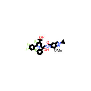 COc1cc(C(=O)NC[C@@](O)(c2ccccc2)c2cc(C(C)(C)O)c(F)c(-c3cc(F)c(F)cc3F)n2)cc2cn(C3CC3)nc12